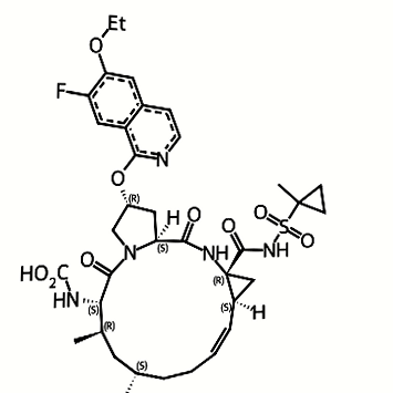 CCOc1cc2ccnc(O[C@@H]3C[C@H]4C(=O)N[C@]5(C(=O)NS(=O)(=O)C6(C)CC6)C[C@H]5C=CCC[C@H](C)C[C@@H](C)[C@H](NC(=O)O)C(=O)N4C3)c2cc1F